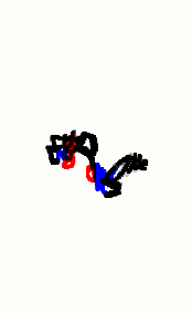 COc1cccnc1NC(=O)c1cccc(S(=O)(=O)N2CCC[C@@H]2C)c1